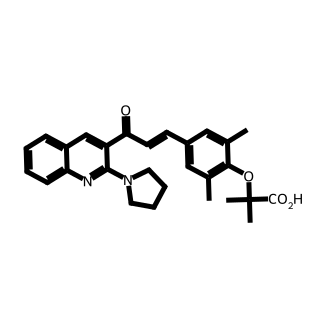 Cc1cc(/C=C/C(=O)c2cc3ccccc3nc2N2CCCC2)cc(C)c1OC(C)(C)C(=O)O